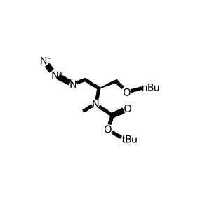 CCCCOC[C@H](CN=[N+]=[N-])N(C)C(=O)OC(C)(C)C